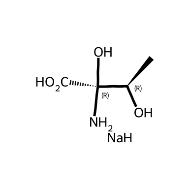 C[C@@H](O)[C@@](N)(O)C(=O)O.[NaH]